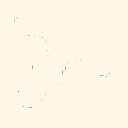 CC(C)c1cc2c3cscc3c3cc(C(C)C)sc3c2s1